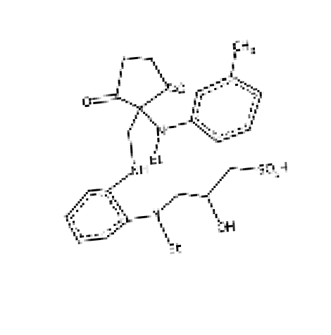 CCN(CC(O)CS(=O)(=O)O)c1ccccc1NCC1(N(CC)c2cccc(C)c2)C(=O)CCC1=O